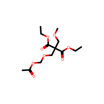 CCOC(=O)C(COC)(COCOC(C)=O)C(=O)OCC